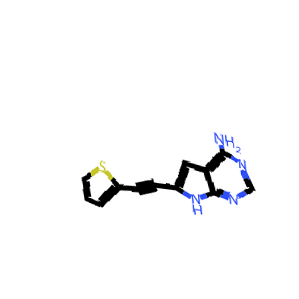 Nc1ncnc2[nH]c(C#Cc3cccs3)cc12